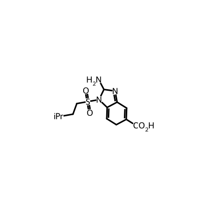 CC(C)CCS(=O)(=O)N1C2=CCC(C(=O)O)=CC2=NC1N